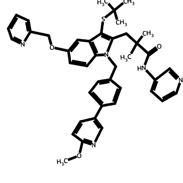 COc1ccc(-c2ccc(Cn3c(CC(C)(C)C(=O)Nc4cccnc4)c(SC(C)(C)C)c4cc(OCc5ccccn5)ccc43)cc2)cn1